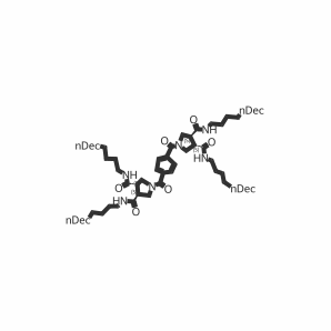 CCCCCCCCCCCCCCNC(=O)[C@@H]1CN(C(=O)c2ccc(C(=O)N3C[C@@H](C(=O)NCCCCCCCCCCCCCC)[C@H](C(=O)NCCCCCCCCCCCCCC)C3)cc2)C[C@H]1C(=O)NCCCCCCCCCCCCCC